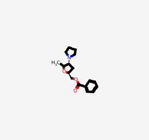 CC1O[C@H](COC(=O)c2ccccc2)C[C@H]1N1CCCC1